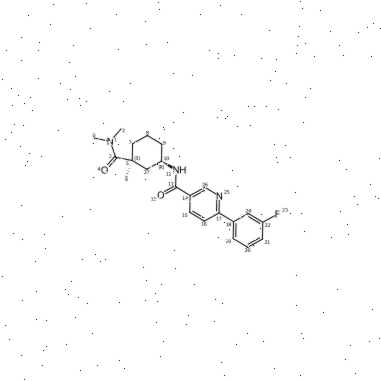 CN(C)C(=O)[C@@]1(C)CCC[C@@H](NC(=O)c2ccc(-c3cccc(F)c3)nc2)C1